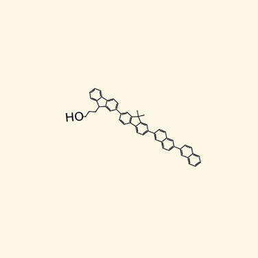 CC1(C)c2cc(-c3ccc4c(c3)C(CCCO)c3ccccc3-4)ccc2-c2ccc(-c3ccc4cc(-c5ccc6ccccc6c5)ccc4c3)cc21